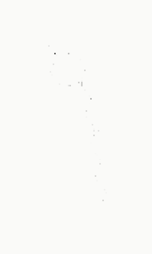 CN1CCN(CCOCCCCI)CC1